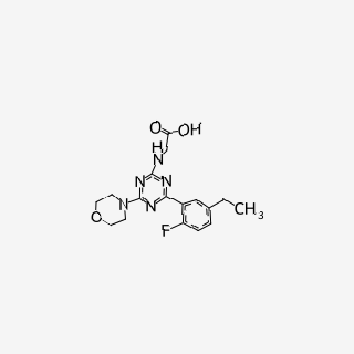 CCc1ccc(F)c(-c2nc(NCC(=O)O)nc(N3CCOCC3)n2)c1